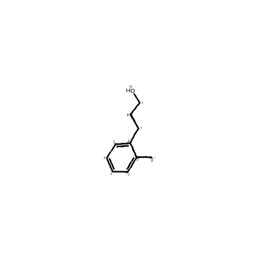 [CH2]c1ccccc1CCCO